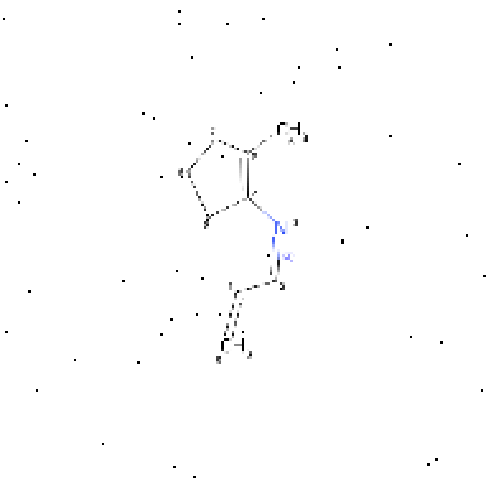 C=C/C=N\C1=C(C)CCC1